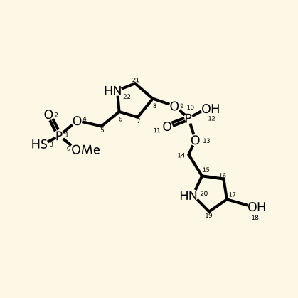 COP(=O)(S)OCC1CC(OP(=O)(O)OCC2CC(O)CN2)CN1